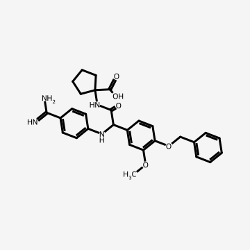 COc1cc(C(Nc2ccc(C(=N)N)cc2)C(=O)NC2(C(=O)O)CCCC2)ccc1OCc1ccccc1